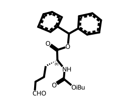 CC(C)COC(=O)N[C@H](CCCC=O)C(=O)OC(c1ccccc1)c1ccccc1